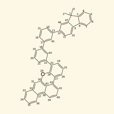 CC1(C)c2ccccc2-c2ccc(-c3cccc(-c4cccc(-c5cccc6c5Oc5cc7ccccc7c7cccc-6c57)c4)c3)cc21